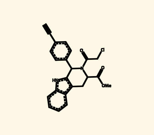 C#Cc1ccc(C2c3[nH]c4ccccc4c3CC(C(=O)OC)N2C(=O)CCl)cc1